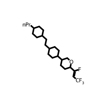 CCCC1CCC(CCC2CCC(C3CCC(/C(F)=C/C(F)(F)F)OC3)CC2)CC1